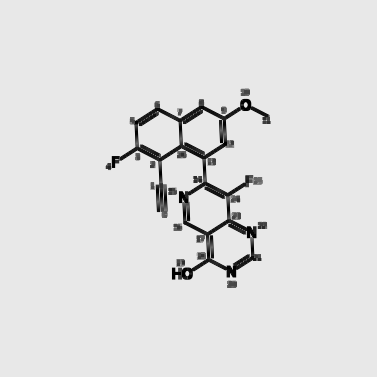 C#Cc1c(F)ccc2cc(OC)cc(-c3ncc4c(O)ncnc4c3F)c12